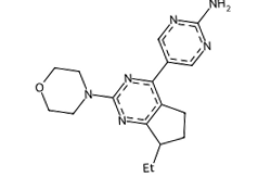 CCC1CCc2c(-c3cnc(N)nc3)nc(N3CCOCC3)nc21